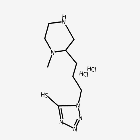 CN1CCNCC1CCCn1nnnc1S.Cl.Cl